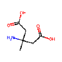 CC(N)(CC(=O)O)CC(=O)O